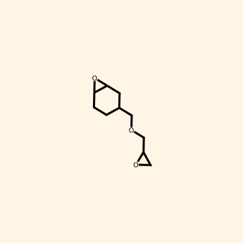 C1CC2OC2CC1COCC1CO1